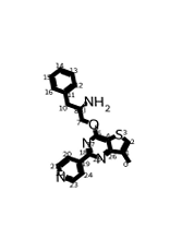 Cc1csc2c(OC[C@H](N)Cc3ccccc3)nc(-c3ccncc3)nc12